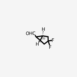 O=CC1[C@H]2CC(F)(F)C[C@@H]12